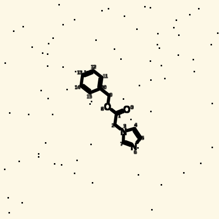 O=C(Cn1ccnc1)OCc1ccccc1